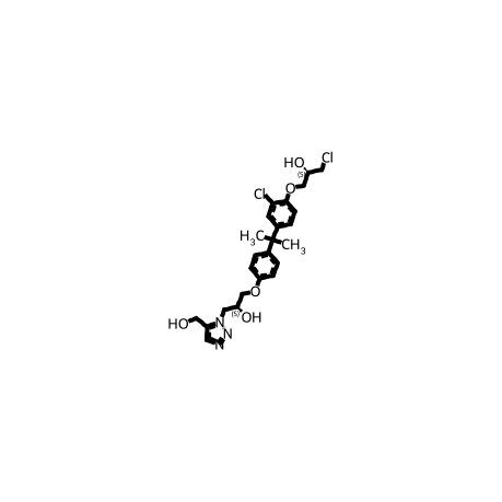 CC(C)(c1ccc(OC[C@@H](O)Cn2nncc2CO)cc1)c1ccc(OC[C@H](O)CCl)c(Cl)c1